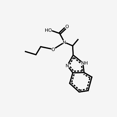 CCCON(C(=O)O)C(C)c1nc2ccccc2[nH]1